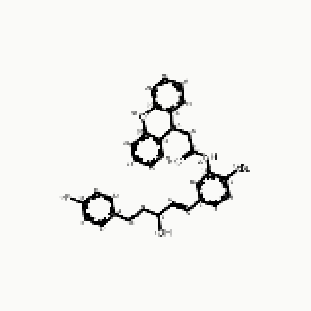 CC(C)(C)c1ccc(C=CC(O)CCc2ccc(F)cc2)cc1NC(=O)CC1c2ccccc2Oc2ccccc21